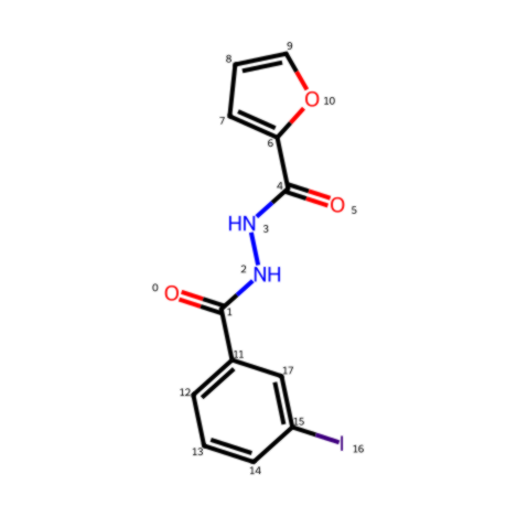 O=C(NNC(=O)c1ccco1)c1cccc(I)c1